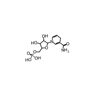 NC(=O)C1=CN(C2OC(COP(=O)(O)O)C(O)C2O)C=CC1